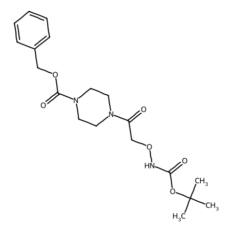 CC(C)(C)OC(=O)NOCC(=O)N1CCN(C(=O)OCc2ccccc2)CC1